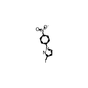 O=[N+]([O-])c1ccc(-n2ccc(I)n2)cc1